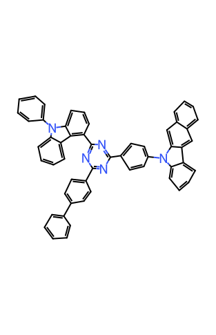 c1ccc(-c2ccc(-c3nc(-c4ccc(-n5c6ccccc6c6cc7ccccc7cc65)cc4)nc(-c4cccc5c4c4ccccc4n5-c4ccccc4)n3)cc2)cc1